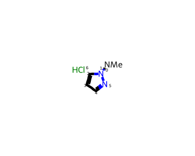 CNn1cccn1.Cl